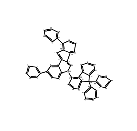 c1ccc(-c2ccc3c(c2)c2nc4c(-c5ccccc5)cccc4c-2cn3-c2cccc3c2-c2ccccc2C3(c2ccccc2)c2ccccc2)cc1